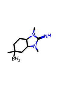 BC1(C)CCC2C(C1)N(C)C(=N)N2C